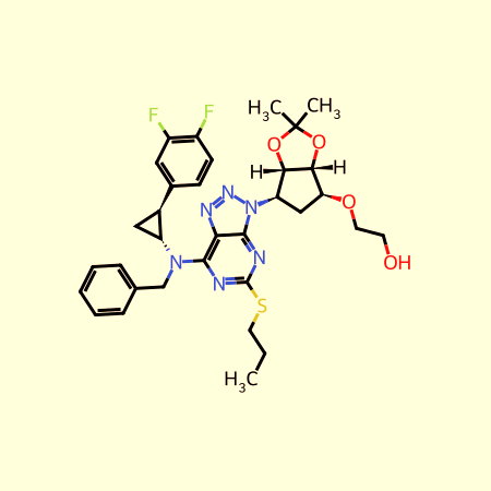 CCCSc1nc(N(Cc2ccccc2)[C@@H]2C[C@H]2c2ccc(F)c(F)c2)c2nnn([C@@H]3C[C@H](OCCO)[C@H]4OC(C)(C)O[C@H]43)c2n1